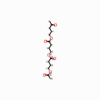 CC(=O)CCCOC(=O)CCCOC(=O)CCCOC(C)=O